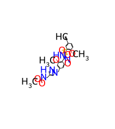 C#Cc1ccc(OC)c(S(=O)(=O)Nc2noc3cc(Cn4cc(CNC(=O)OC)cn4)cc(OC)c23)c1